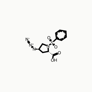 [N-]=[N+]=N[C@@H]1C[C@@H](C(=O)O)N(S(=O)(=O)c2ccccc2)C1